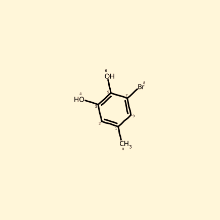 Cc1cc(O)c(O)c(Br)c1